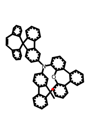 CC1(C)c2ccccc2-c2ccc(N(c3ccc4c(c3)-c3ccccc3C43c4ccccc4C=Cc4ccccc43)c3cccc4c3Oc3ccccc3-c3ccccc3-4)cc21